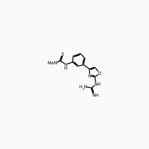 CNC(=S)Nc1cccc(-c2coc(NC(=N)N)n2)c1